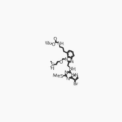 CSc1nc(NCc2nc3cccc(CCCNC(=O)OC(C)(C)C)c3n2COCC[SiH](C)C)n2ncc(Br)c2n1